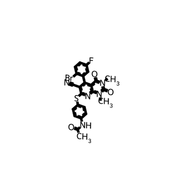 CC(=O)Nc1ccc(Sc2nc3c(c(-c4cc(F)ccc4Br)c2C#N)c(=O)n(C)c(=O)n3C)cc1